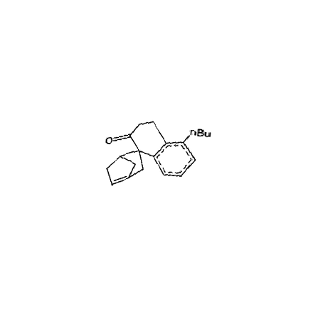 CCCCc1cccc2c1CCC(=O)C21CC2=CCC1C2